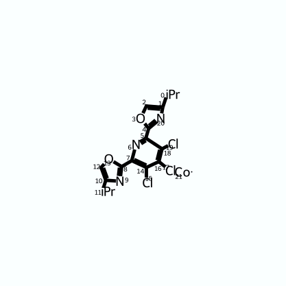 CC(C)c1coc(-c2nc(-c3nc(C(C)C)co3)c(Cl)c(Cl)c2Cl)n1.[Co]